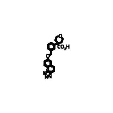 O=C(O)C1(c2cccc(COc3ccc4c(ccc5nnnn54)c3)c2)CCOCC1